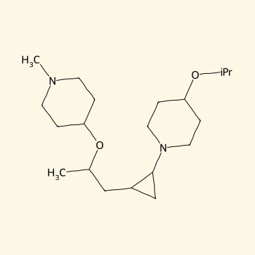 CC(C)OC1CCN(C2CC2CC(C)OC2CCN(C)CC2)CC1